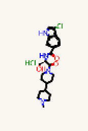 CN1CCC(C2CCN(C(=O)[C@@H](CO)NC(=O)c3ccc4c(Cl)c[nH]c4c3)CC2)CC1.Cl